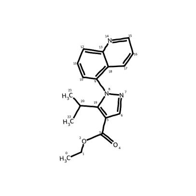 CCOC(=O)c1cnn(-c2cccc3ncccc23)c1C(C)C